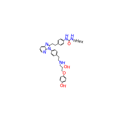 CCCCCCNC(=O)Nc1ccc(CCc2nc3cccnc3n2-c2ccc(CCNC[C@H](O)COc3ccc(O)cc3)cc2)cc1